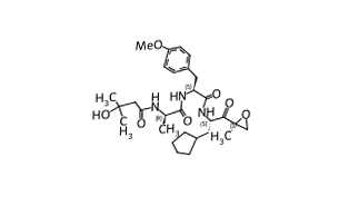 COc1ccc(C[C@H](NC(=O)[C@@H](C)NC(=O)CC(C)(C)O)C(=O)N[C@@H](CC2CCCC2)C(=O)[C@]2(C)CO2)cc1